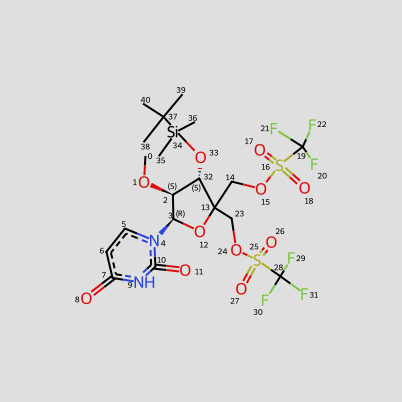 CO[C@@H]1[C@H](n2ccc(=O)[nH]c2=O)OC(COS(=O)(=O)C(F)(F)F)(COS(=O)(=O)C(F)(F)F)[C@H]1O[Si](C)(C)C(C)(C)C